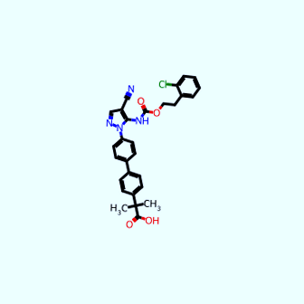 CC(C)(C(=O)O)c1ccc(-c2ccc(-n3ncc(C#N)c3NC(=O)OCCc3ccccc3Cl)cc2)cc1